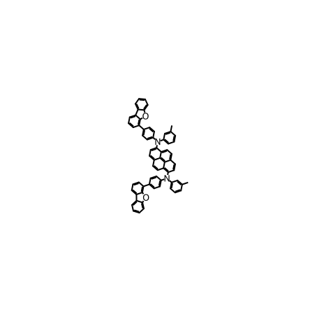 Cc1cccc(N(c2ccc(-c3cccc4c3oc3ccccc34)cc2)c2ccc3ccc4c(N(c5ccc(-c6cccc7c6oc6ccccc67)cc5)c5cccc(C)c5)ccc5ccc2c3c54)c1